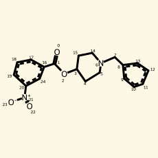 O=C(OC1CCN(Cc2ccccc2)CC1)c1cccc([N+](=O)[O-])c1